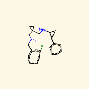 Fc1ccccc1CNCC1(CNC2CC2c2ccccc2)CC1